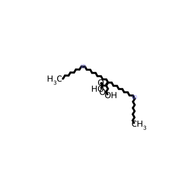 CCCCCCCC/C=C\CCCCCCCCC(CCCCCCCC/C=C\CCCCCCCC)=C(CC(=O)O)C(=O)O